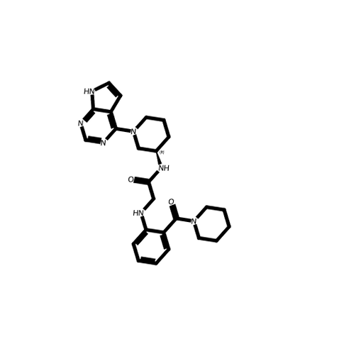 O=C(CNc1ccccc1C(=O)N1CCCCC1)N[C@@H]1CCCN(c2ncnc3[nH]ccc23)C1